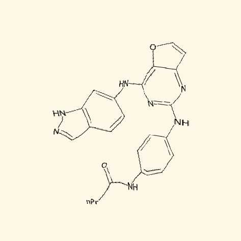 CCCC(=O)Nc1ccc(Nc2nc(Nc3ccc4cn[nH]c4c3)c3occc3n2)cc1